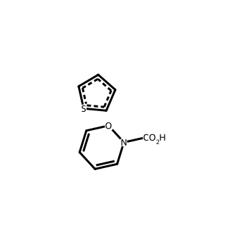 O=C(O)N1C=CC=CO1.c1ccsc1